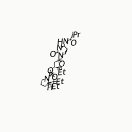 CC[C@H]1O[C@@H](n2ccc(NC(=O)C(C)C)nc2=O)CC1O[P@@]1OC(CC)(CC)[C@@H]2CCCN21